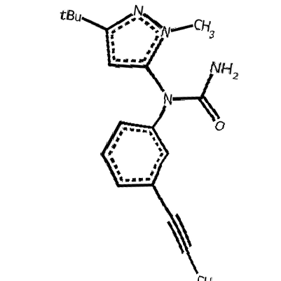 CC#Cc1cccc(N(C(N)=O)c2cc(C(C)(C)C)nn2C)c1